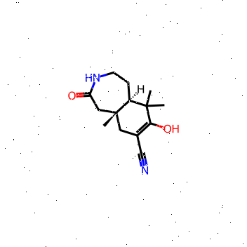 CC1(C)C(O)=C(C#N)C[C@]2(C)CC(=O)NCC[C@@H]12